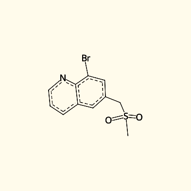 CS(=O)(=O)Cc1cc(Br)c2ncccc2c1